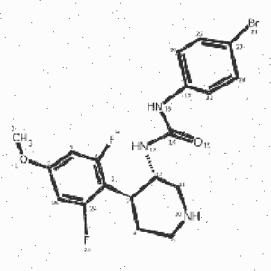 COc1cc(F)c([C@@H]2CCNC[C@H]2NC(=O)Nc2ccc(Br)cc2)c(F)c1